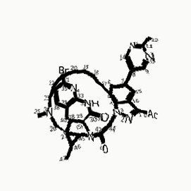 CC(=O)c1nn2c3c(cc(-c4cnc(C)nc4)cc13)CCCCCCCN(C)C[C@@]13C[C@@H](C(=O)Nc4nc(Br)ccc4C)N(C(=O)C2)C1C3C